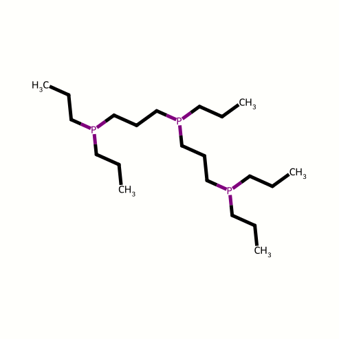 CCCP(CCC)CCCP(CCC)CCCP(CCC)CCC